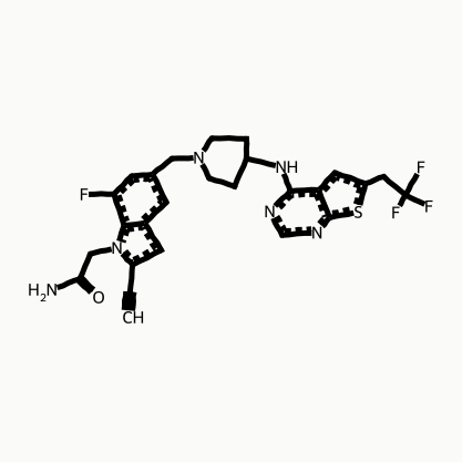 C#Cc1cc2cc(CN3CCC(Nc4ncnc5sc(CC(F)(F)F)cc45)CC3)cc(F)c2n1CC(N)=O